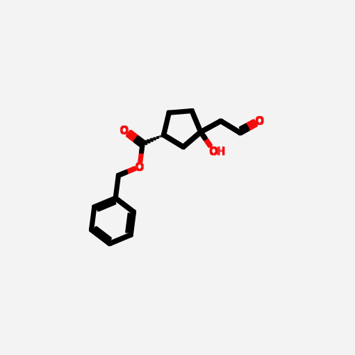 O=CCC1(O)CC[C@@H](C(=O)OCc2ccccc2)C1